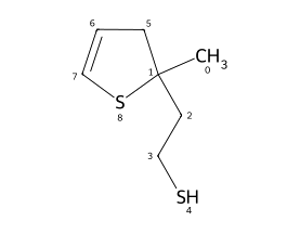 CC1(CCS)CC=CS1